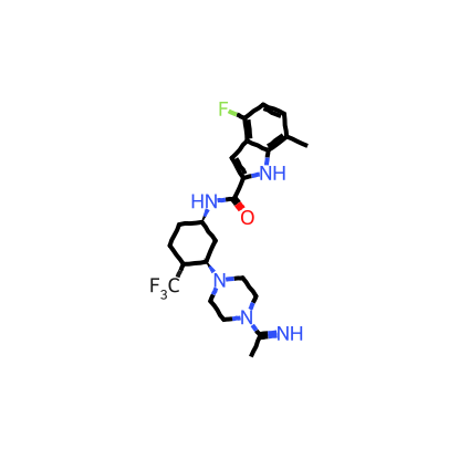 CC(=N)N1CCN([C@@H]2C[C@H](NC(=O)c3cc4c(F)ccc(C)c4[nH]3)CCC2C(F)(F)F)CC1